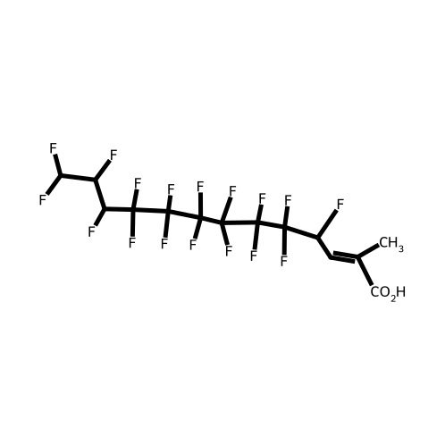 CC(=CC(F)C(F)(F)C(F)(F)C(F)(F)C(F)(F)C(F)(F)C(F)(F)C(F)C(F)C(F)F)C(=O)O